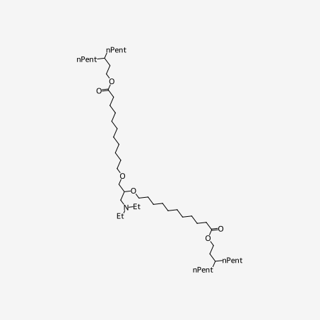 CCCCCC(CCCCC)CCOC(=O)CCCCCCCCCCOCC(CN(CC)CC)OCCCCCCCCCCC(=O)OCCC(CCCCC)CCCCC